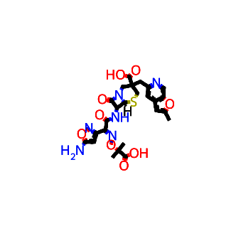 Cc1cc2cc(CC3(C(=O)O)CS[C@@H]4C(NC(=O)C(=NOC(C)(C)C(=O)O)c5cc(N)on5)C(=O)N4C3)ncc2o1